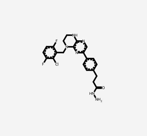 NNC(=O)CCc1ccc(-c2cnc3c(n2)N(Cc2c(F)ccc(F)c2Cl)CCN3)cc1